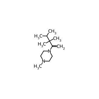 C=C(N1CCN(C)CC1)C(C)(C)C(C)C